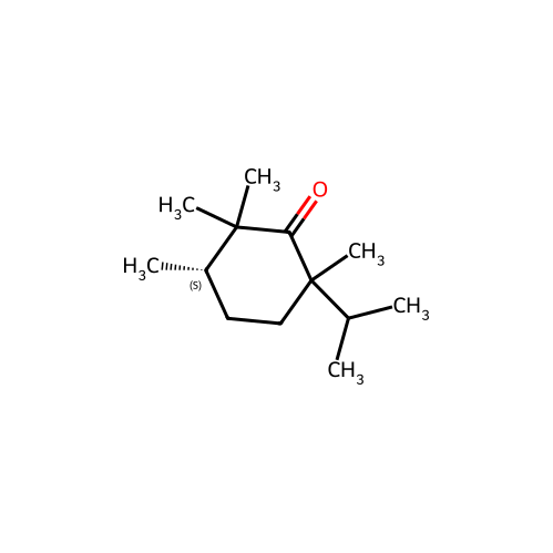 CC(C)C1(C)CC[C@H](C)C(C)(C)C1=O